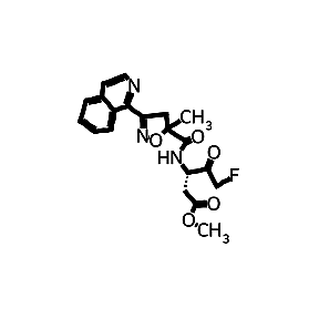 COC(=O)C[C@H](NC(=O)C1(C)CC(c2nccc3ccccc23)=NO1)C(=O)CF